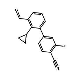 N#Cc1ccc(-c2cccc(C=O)c2C2CC2)cc1F